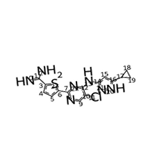 N=C(N)c1ccc(-c2ncc(Cl)c(Nc3cc(C4CC4)[nH]n3)n2)s1